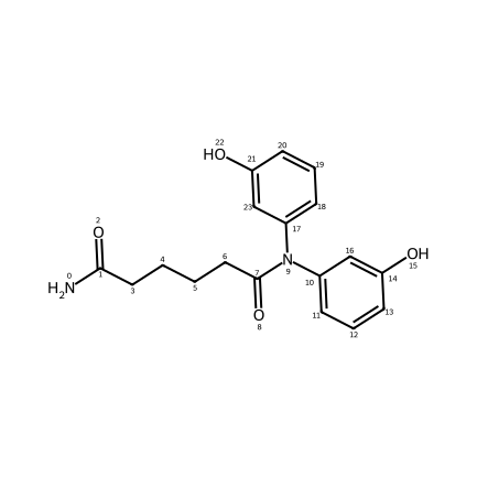 NC(=O)CCCCC(=O)N(c1cccc(O)c1)c1cccc(O)c1